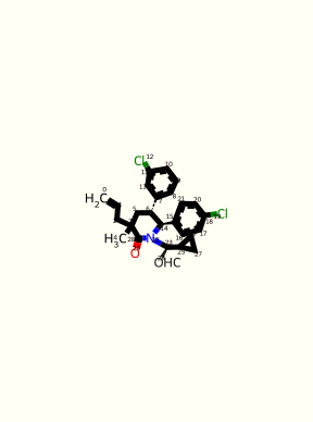 C=CCC1(C)C[C@H](c2cccc(Cl)c2)[C@@H](c2ccc(Cl)cc2)N([C@H](C=O)C2CC2)C1=O